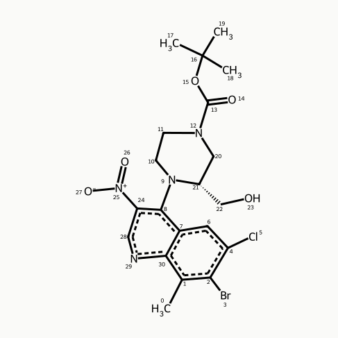 Cc1c(Br)c(Cl)cc2c(N3CCN(C(=O)OC(C)(C)C)C[C@@H]3CO)c([N+](=O)[O-])cnc12